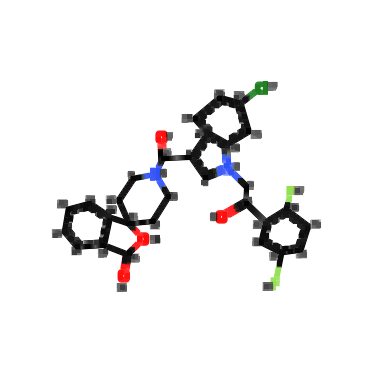 O=C(Cn1cc(C(=O)N2CCC3(CC2)OC(=O)c2ccccc23)c2ccc(Cl)cc21)c1cc(F)ccc1F